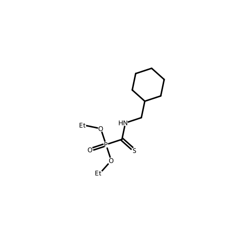 CCOP(=O)(OCC)C(=S)NCC1CCCCC1